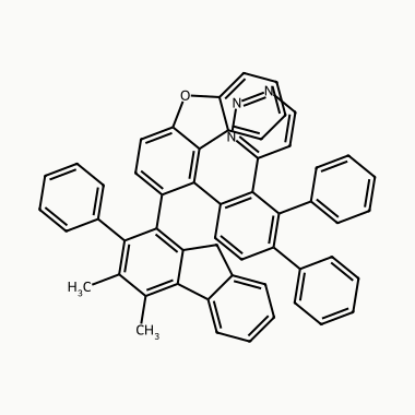 Cc1c(C)c(-c2ccccc2)c(-c2ccc3oc4ccccc4c3c2-c2ccc(-c3ccccc3)c(-c3ccccc3)c2-c2ccnnn2)c2c1-c1ccccc1C2